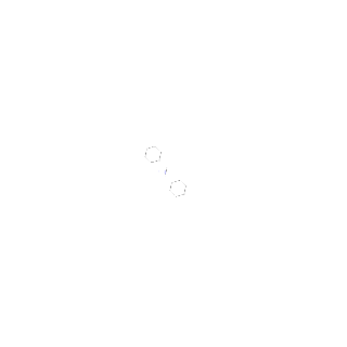 CCCCCc1ccc(/C(C)=C/c2ccc(C3CCC(CCC)CC3)cc2)cc1